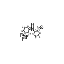 O=Cc1ccccc1Nc1cccc(C(F)(F)F)c1